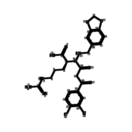 N=C(N)NCCC[C@@H](C(=O)O)N(NCc1ccc2c(c1)OCO2)C(=O)CC(=O)c1ccc(Cl)c(Cl)c1